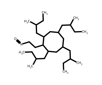 CCC(C)CC1CC(CC(C)CC)CC(CC(C)CC)C(CCN=O)C(CC(C)CC)C1